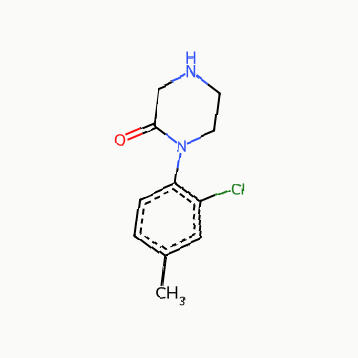 Cc1ccc(N2CCNCC2=O)c(Cl)c1